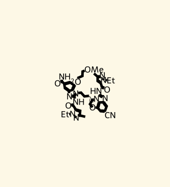 CCn1nc(C)cc1C(=O)Nc1nc2cc(C(N)=O)cc(OCCCOC)c2n1CCC[C@H]1COc2cc(C#N)cc3nc(NC(=O)c4cc(C)nn4CC)n1c23